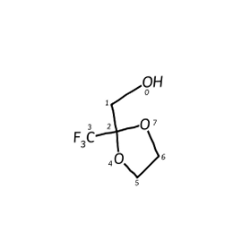 OCC1(C(F)(F)F)OCCO1